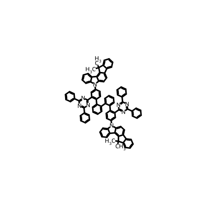 CC1(C)c2ccccc2-c2ccc3c(c21)c1ccccc1n3-c1ccc(-c2ccccc2-c2ccccc2-c2ccc(-n3c4ccccc4c4c5c(ccc43)-c3ccccc3C5(C)C)cc2-c2nc(-c3ccccc3)nc(-c3ccccc3)n2)c(-c2nc(-c3ccccc3)nc(-c3ccccc3)n2)c1